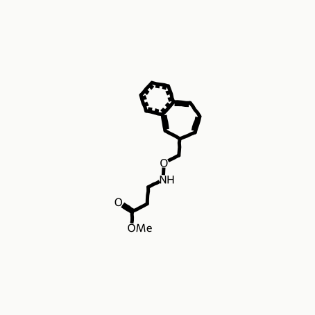 COC(=O)CCNOCC1C=CC=c2ccccc2=C1